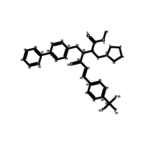 COC(=O)C(CN1CCCC1)N(Cc1ccc(-c2ccccn2)cc1)C(=O)C=Cc1ccc(C(F)(F)F)cc1